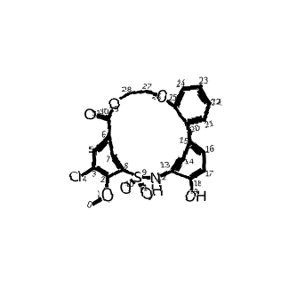 COc1c(Cl)cc2cc1S(=O)(=O)Nc1cc(ccc1O)-c1ccccc1OCCOC2=O